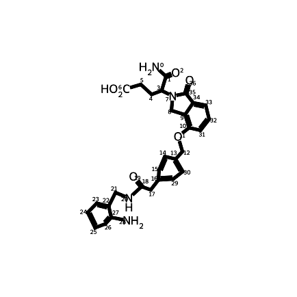 NC(=O)C(CCC(=O)O)N1Cc2c(OCc3ccc(CC(=O)NCc4ccccc4N)cc3)cccc2C1=O